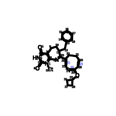 CCn1c2c(c(=O)[nH]c1=O)CCC(Cc1ccccc1)C(/C1=C/N=C(OC3CCC3)\C=C/CC1)=N2